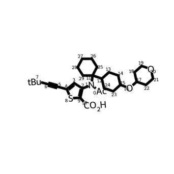 CC(=O)N(c1cc(C#CC(C)(C)C)sc1C(=O)O)C1(C2CCC(OC3CCOCC3)CC2)CCCCC1